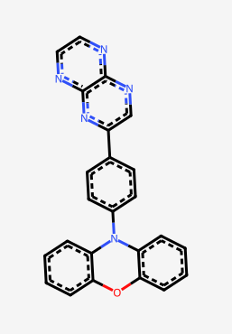 c1ccc2c(c1)Oc1ccccc1N2c1ccc(-c2cnc3nccnc3n2)cc1